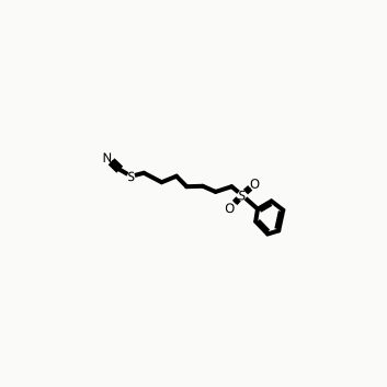 N#CSCCCCCCCS(=O)(=O)c1ccccc1